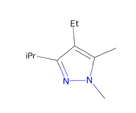 CCc1c(C(C)C)nn(C)c1C